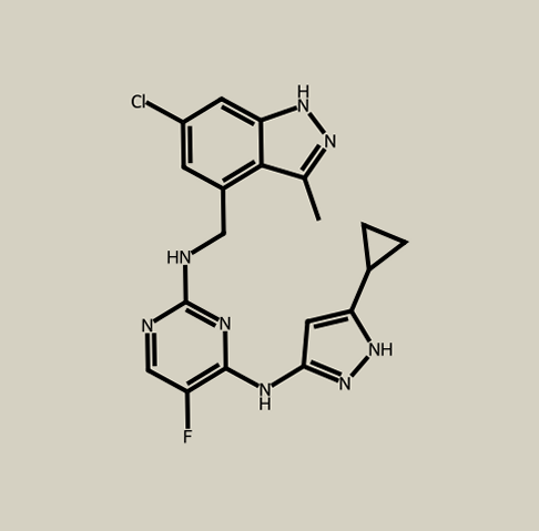 Cc1n[nH]c2cc(Cl)cc(CNc3ncc(F)c(Nc4cc(C5CC5)[nH]n4)n3)c12